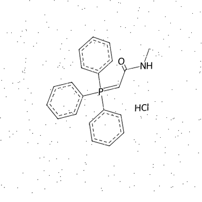 CNC(=O)C=P(c1ccccc1)(c1ccccc1)c1ccccc1.Cl